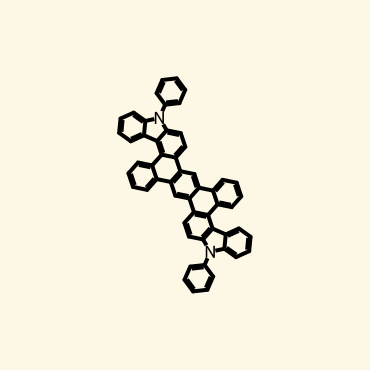 c1ccc(-n2c3ccccc3c3c4c5ccccc5c5cc6c(cc5c4ccc32)c2ccccc2c2c6ccc3c2c2ccccc2n3-c2ccccc2)cc1